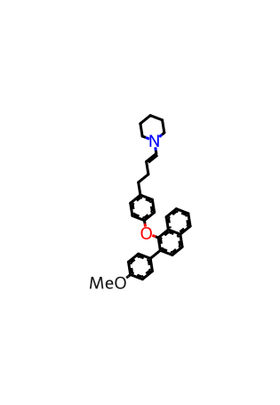 COc1ccc(-c2ccc3ccccc3c2Oc2ccc(CC/C=C/N3CCCCC3)cc2)cc1